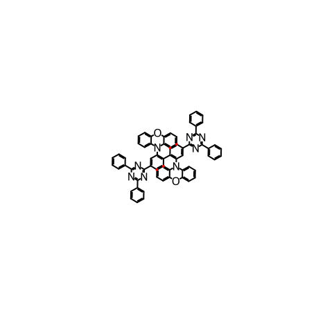 c1ccc(-c2nc(-c3ccccc3)nc(-c3ccc(-c4ccc(-c5nc(-c6ccccc6)nc(-c6ccccc6)n5)cc4N4c5ccccc5Oc5ccccc54)c(N4c5ccccc5Oc5ccccc54)c3)n2)cc1